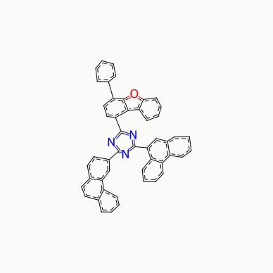 c1ccc(-c2ccc(-c3nc(-c4ccc5ccc6ccccc6c5c4)nc(-c4cc5ccccc5c5ccccc45)n3)c3c2oc2ccccc23)cc1